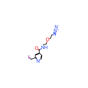 [N-]=[N+]=NCCOCCNC(=O)c1ccnc(CI)c1